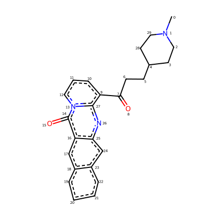 CN1CCC(CCC(=O)c2cccn3c(=O)c4cc5ccccc5cc4nc23)CC1